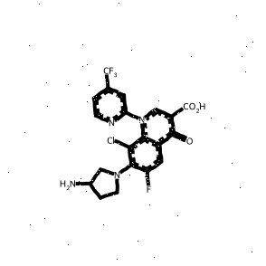 NC1CCN(c2c(F)cc3c(=O)c(C(=O)O)cn(-c4cc(C(F)(F)F)ccn4)c3c2Cl)C1